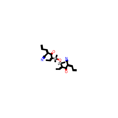 C=CC=C(C#N)C(=O)C(=CC)[Si](C)(C)O[Si](C)(C)C(=CC)C(=O)C(C#N)=CC=C